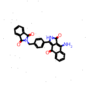 NC1=C2C(=O)NC(c3ccc(CN4C(=O)c5ccccc5C4=O)cc3)=C2C(=O)c2ccccc21